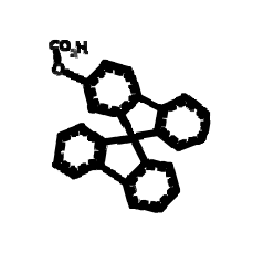 O=C(O)Oc1ccc2c(c1)C1(c3ccccc3-c3ccccc31)c1ccccc1-2